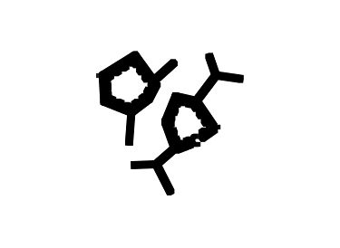 CC(C)c1[c]cc(C(C)C)cc1.Cc1c[c]cc(C)c1